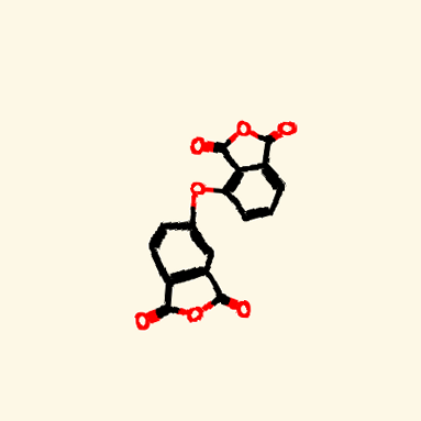 O=C1OC(=O)c2cc(Oc3cccc4c3C(=O)OC4=O)ccc21